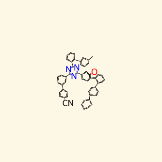 Cc1cccc(-c2ccccc2-c2nc(-c3cccc(-c4ccc(C#N)cc4)c3)nc(-c3ccc4c(c3)oc3cccc(-c5ccc(-c6ccccc6)cc5)c34)n2)c1